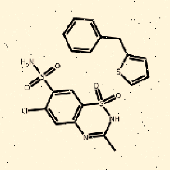 CC1=Nc2cc(Cl)c(S(N)(=O)=O)cc2S(=O)(=O)N1.c1ccc(Cc2cccs2)cc1